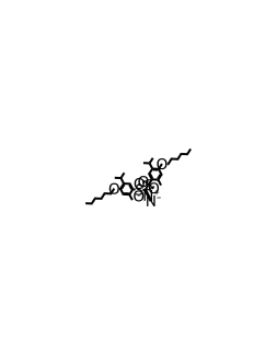 CCCCCCOc1cc(C)c(S(=O)(=O)C(=[N+]=[N-])S(=O)(=O)c2cc(C(C)C)c(OCCCCCC)cc2C)cc1C(C)C